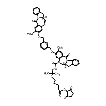 COc1cc2c(cc1OCc1cccc(COc3cc4c(cc3OC)C(=O)N3c5ccccc5C[C@H]3CN4C(=O)OCC(C)(C)SSCCCC(=O)ON3C(=O)CCC3=O)n1)N=C[C@@H]1Cc3ccccc3N1C2=O